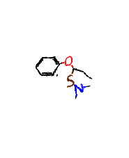 CCC(Oc1[c]cccc1)SN(C)C